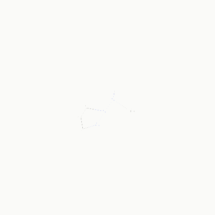 CCCCN(CC)N1CCC[N]1